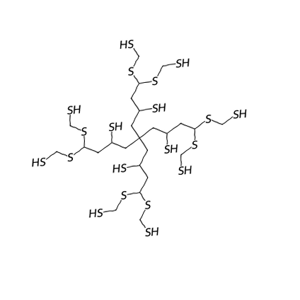 SCSC(CC(S)CC(CC(S)CC(SCS)SCS)(CC(S)CC(SCS)SCS)CC(S)CC(SCS)SCS)SCS